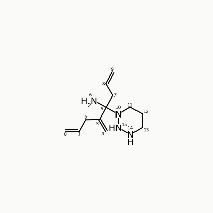 C=CCC(=C)C(N)(CC=C)N1CCCNN1